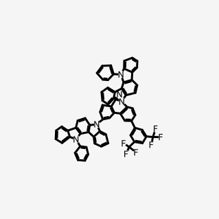 N#Cc1ccc(-n2c3ccccc3c3c2ccc2c4ccccc4n(-c4ccccc4)c23)cc1-c1cc(-c2cc(C(F)(F)F)cc(C(F)(F)F)c2)ccc1-n1c2ccccc2c2c1ccc1c3ccccc3n(-c3ccccc3)c12